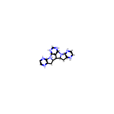 c1cnc2c(n1)CC1C3c4c(ncnc4N4c5nccnc5CC34)N21